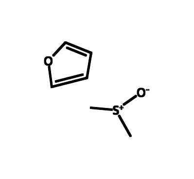 C[S+](C)[O-].c1ccoc1